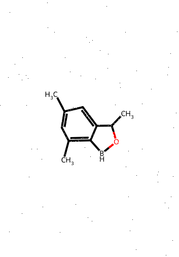 Cc1cc(C)c2c(c1)C(C)OB2